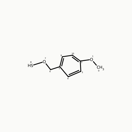 COc1ccc(COS)cc1